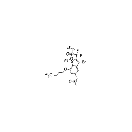 CCOP(=O)(OCC)C(F)(F)c1sc2c(OCCCC(F)(F)F)cc(C[S+](C)[O-])cc2c1Br